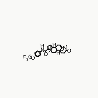 CN1C(=O)CC[C@@]2(C)C1=CC[C@@H]1[C@H]2CC[C@]2(C)C(C(=O)Nc3ccc(OC(F)(F)F)cc3)CC[C@@H]12